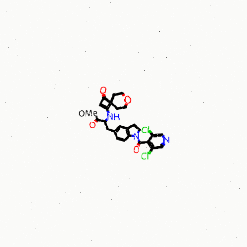 COC(=O)C(Cc1ccc2c(c1)CCN2C(=O)c1c(Cl)cncc1Cl)NC1=CC(=O)C12CCOCC2